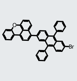 Brc1ccc2c(-c3ccccc3)c3cc(-c4ccc5c6c(cccc46)Oc4ccccc4-5)ccc3c(-c3ccccc3)c2c1